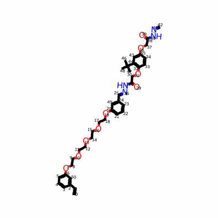 C=Cc1cccc(OCCOCCOCCOCCOc2cccc(C=NNC(=O)COc3ccc(OCC(=O)NN=C)cc3C(C)(C)C)c2)c1